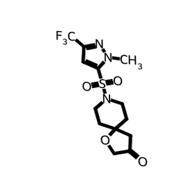 Cn1nc(C(F)(F)F)cc1S(=O)(=O)N1CCC2(CC1)CC(=O)CO2